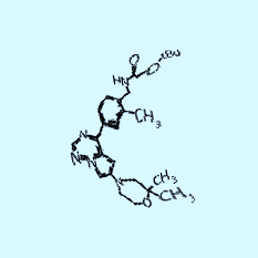 Cc1cc(-c2ncnn3cc(N4CCOC(C)(C)C4)cc23)ccc1CNC(=O)OC(C)(C)C